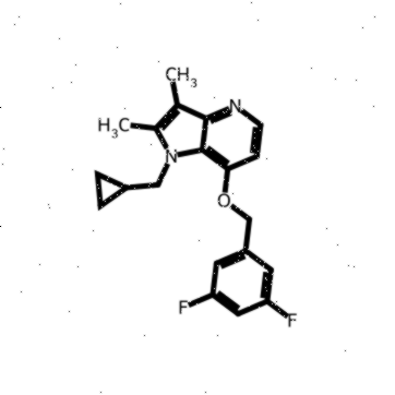 Cc1c(C)n(CC2CC2)c2c(OCc3cc(F)cc(F)c3)ccnc12